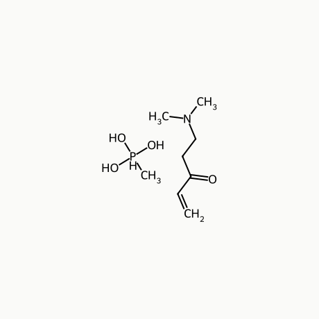 C=CC(=O)CCN(C)C.C[PH](O)(O)O